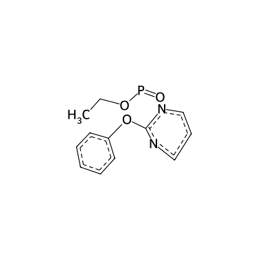 CCOP=O.c1ccc(Oc2ncccn2)cc1